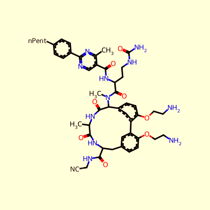 CCCCCc1ccc(-c2ncc(C(=O)NC(CCNC(N)=O)C(=O)N(C)C3C(=O)NC(C)C(=O)NC(C(=O)NCC#N)Cc4ccc(OCCN)c(c4)-c4cc3ccc4OCCN)c(C)n2)cc1